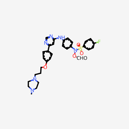 CN1CCN(CCCOc2ccc(-c3cc(Nc4ccc(N(OC=O)S(=O)(=O)c5ccc(F)cc5)cc4)ncn3)cc2)CC1